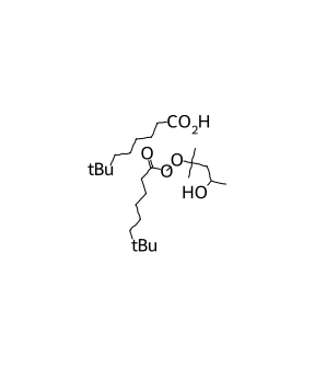 CC(C)(C)CCCCCC(=O)O.CC(O)CC(C)(C)OOC(=O)CCCCCC(C)(C)C